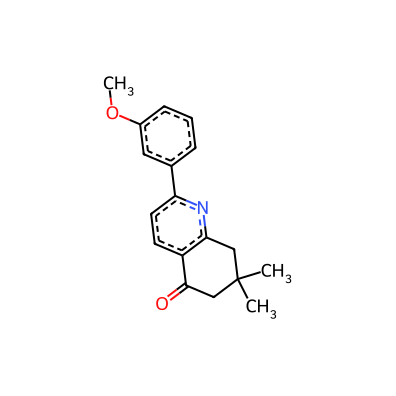 COc1cccc(-c2ccc3c(n2)CC(C)(C)CC3=O)c1